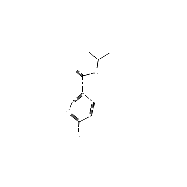 CC(C)NC(=O)c1ccc(N)nc1